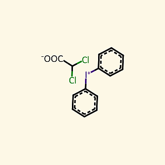 O=C([O-])C(Cl)Cl.c1ccc([I+]c2ccccc2)cc1